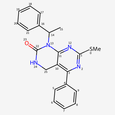 CSc1nc(-c2ccccc2)c2c(n1)N(C(C)c1ccccc1)C(=O)NC2